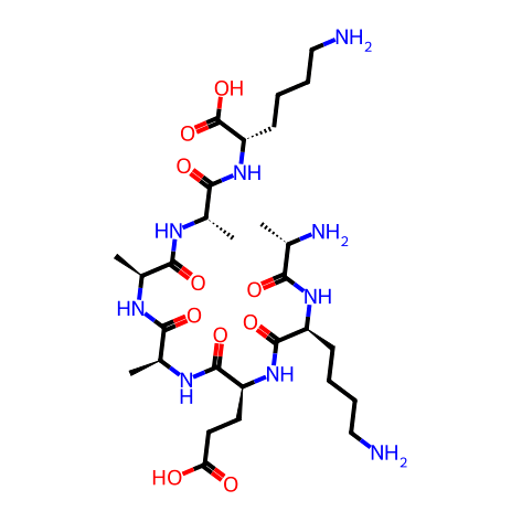 C[C@H](N)C(=O)N[C@@H](CCCCN)C(=O)N[C@@H](CCC(=O)O)C(=O)N[C@@H](C)C(=O)N[C@@H](C)C(=O)N[C@@H](C)C(=O)N[C@@H](CCCCN)C(=O)O